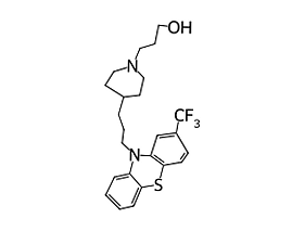 OCCCN1CCC(CCCN2c3ccccc3Sc3ccc(C(F)(F)F)cc32)CC1